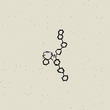 CC1/C(N(c2ccc(-c3ccc(-c4ccccc4)cc3)cc2)C2C=CC(c3cccc(-c4ccc5ccccc5c4)c3)=CC2)=C\C=C/CSc2ccccc21